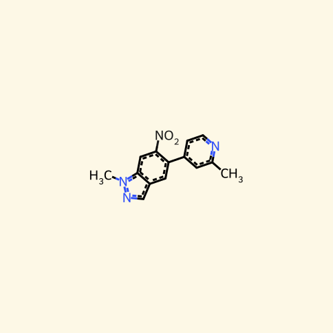 Cc1cc(-c2cc3cnn(C)c3cc2[N+](=O)[O-])ccn1